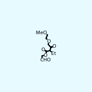 CCC(C(=O)COCCOC)C(=O)OCC=O